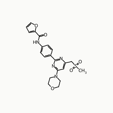 CS(=O)(=O)Cc1cc(N2CCOCC2)nc(-c2ccc(NC(=O)c3ccco3)cc2)n1